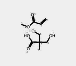 C=CC(=O)OC.CC(CO)(CO)C(=O)O